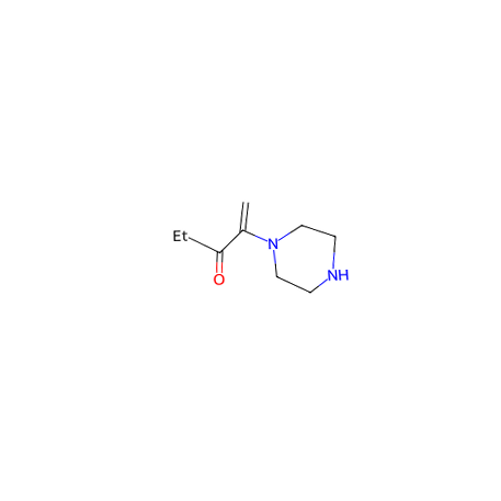 C=C(C(=O)CC)N1CCNCC1